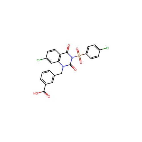 O=C(O)c1cccc(Cn2c(=O)n(S(=O)(=O)c3ccc(Cl)cc3)c(=O)c3ccc(Cl)cc32)c1